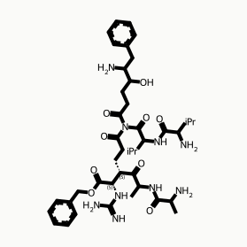 CC(N)C(=O)NC(C)C(=O)[C@@H](CCC(=O)N(C(=O)CCC(O)C(N)Cc1ccccc1)C(=O)C(NC(=O)C(N)C(C)C)C(C)C)[C@H](NC(=N)N)C(=O)OCc1ccccc1